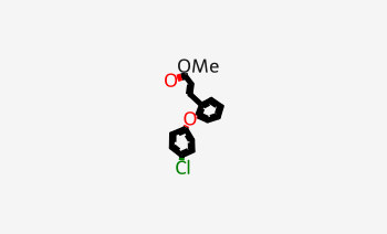 COC(=O)C=Cc1ccccc1Oc1ccc(Cl)cc1